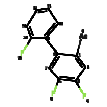 CC(=O)c1cc(F)c(F)cc1-c1ccccc1F